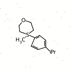 CC(C)c1ccc(S2(C)CCOCC2)cc1